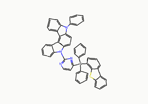 c1ccc(-n2c3ccccc3c3c4c5ccccc5n(-c5nccc([Si](c6ccccc6)(c6ccccc6)c6cccc7c6sc6ccccc67)n5)c4ccc32)cc1